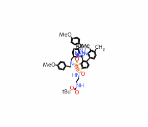 COc1ccc(CN(Cc2ccc(OC)cc2)S(=O)(=O)c2c(S(=O)(=O)NCCNC(=O)OC(C)(C)C)ccc(-c3ccc(C)c(C(=O)O)c3N)c2-c2nnn(Cc3ccc(OC)cc3)n2)cc1